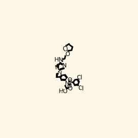 O=C(O)CN(c1ccc2c(ccn2-c2cnc(NCCOC3CCCCO3)cn2)c1)S(=O)(=O)C1C=C(Cl)C=C(Cl)C1